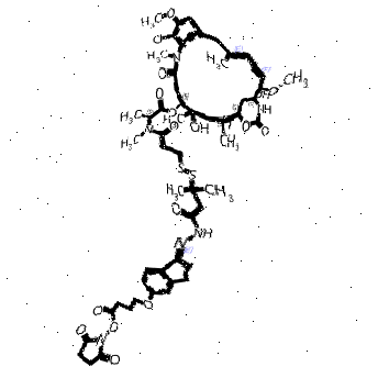 COc1cc2cc(c1Cl)N(C)C(=O)C[C@H](OC(=O)[C@H](C)N(C)C(=O)CCSSC(C)(C)CC(=O)N/N=C1\CCc3cc(OCCCC(=O)ON4C(=O)CCC4=O)ccc31)C(C)(O)C[C@H](C)[C@@H]1C[C@@](O)(NC(=O)O1)[C@H](OC)/C=C/C=C(\C)C2